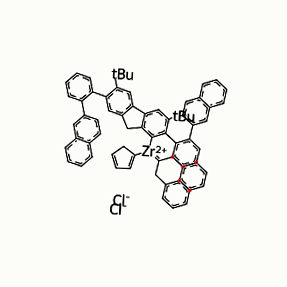 CC(C)(C)c1cc2c(cc1-c1ccccc1-c1ccc3ccccc3c1)Cc1c-2cc(C(C)(C)C)c(-c2ccccc2-c2ccc3ccccc3c2)[c]1[Zr+2]([C]1=CC=CC1)=[C](Cc1ccccc1)Cc1ccccc1.[Cl-].[Cl-]